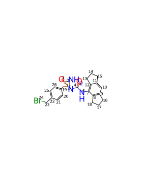 NS(=O)(=NC(=O)Nc1c2c(cc3c1CCC3)CCC2)c1ccc(CBr)cc1